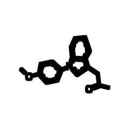 COc1ccc(-n2cc(CC(C)=O)c3ccccc32)cc1